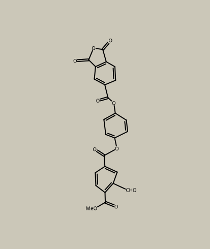 COC(=O)c1ccc(C(=O)Oc2ccc(OC(=O)c3ccc4c(c3)C(=O)OC4=O)cc2)cc1C=O